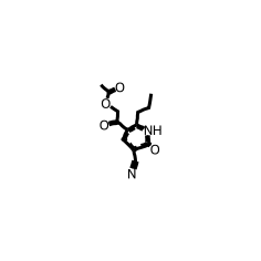 CCCc1[nH]c(=O)c(C#N)cc1C(=O)COC(C)=O